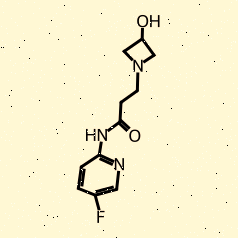 O=C(CCN1CC(O)C1)Nc1ccc(F)cn1